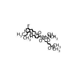 CC(C)Cc1ncc(F)c2cc(Cn3c(Cl)ccc(NC(=O)[C@H](CC/C=C/C(=O)N(C)C)OC(=O)N(C)C)c3=O)[nH]c12